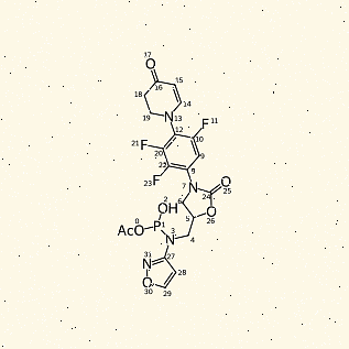 CC(=O)OP(O)N(CC1CN(c2cc(F)c(N3C=CC(=O)CC3)c(F)c2F)C(=O)O1)c1ccon1